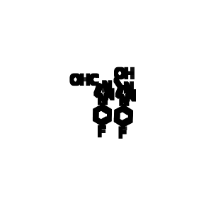 O=Cc1cn(-c2ccc(F)cc2)nn1.OCc1cn(-c2ccc(F)cc2)nn1